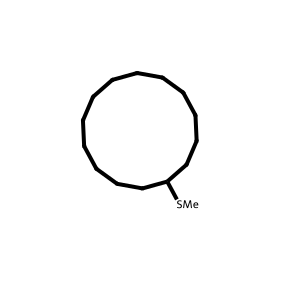 CSC1CCCCCCCCCCCCC1